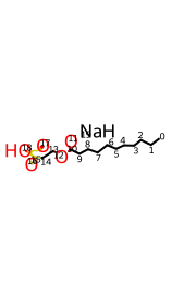 CCCCCCCCCCC(=O)OCCS(=O)(=O)O.[NaH]